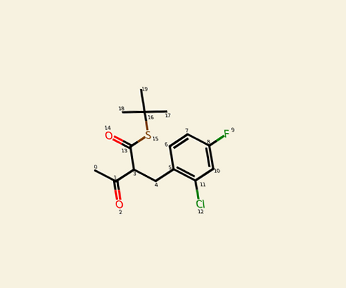 CC(=O)C(Cc1ccc(F)cc1Cl)C(=O)SC(C)(C)C